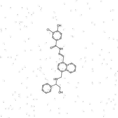 O=C(N/N=C/c1ccc(CNC(CO)c2ccccc2)c2ccccc12)c1ccc(O)c(Cl)c1